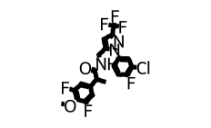 COc1c(F)cc(C(C)C(=O)NCc2cc(C(F)(F)F)nn2-c2ccc(F)c(Cl)c2)cc1F